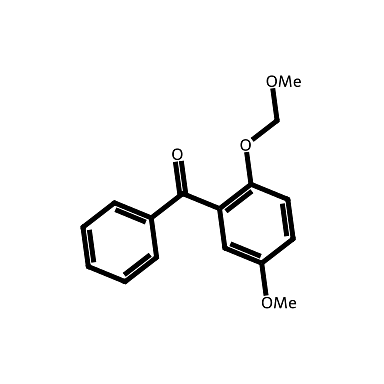 COCOc1ccc(OC)cc1C(=O)c1ccccc1